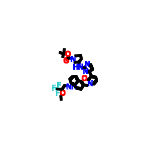 CCOC(CNc1cccc2c(Oc3ncccc3-c3ccnc(NC4CCCN(C(=O)OC(C)(C)C)C4)n3)c(C)ccc12)C(F)(F)F